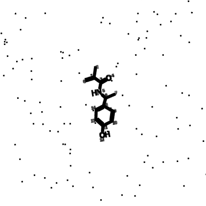 C=C(C)C(=O)NC(C)c1ccc(O)cc1